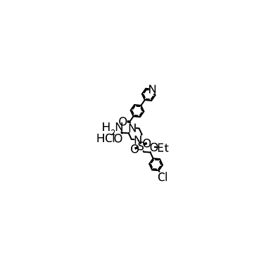 CCOC(CS(=O)(=O)N1CCN(C(=O)c2ccc(-c3ccncc3)cc2)C(C(N)=O)C1)c1ccc(Cl)cc1.Cl